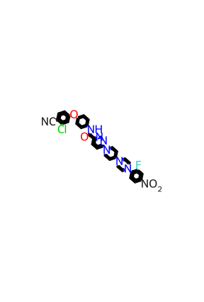 N#Cc1ccc(OC2CCC(NC(=O)c3ccc(N4CCC(N5CCN(c6ccc([N+](=O)[O-])cc6F)CC5)CC4)nn3)CC2)cc1Cl